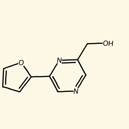 OCc1cncc(-c2ccco2)n1